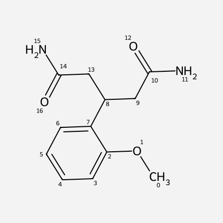 COc1ccccc1C(CC(N)=O)CC(N)=O